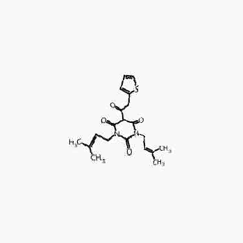 CC(C)=CCN1C(=O)C(C(=O)Cc2cccs2)C(=O)N(CC=C(C)C)C1=O